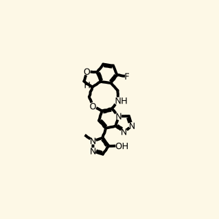 Cn1ncc(O)c1-c1cc2c(n3cnnc13)NCc1c(F)ccc3c1[C@@H](CO3)CO2